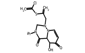 C=C(Cl)SC(=C)CN1CN(C(C)C)C(=O)C2C(O)C(=O)C=CN21